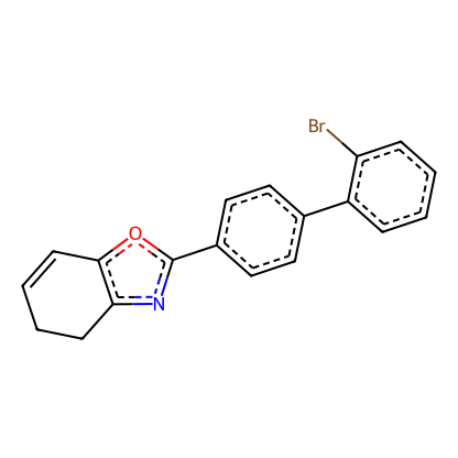 Brc1ccccc1-c1ccc(-c2nc3c(o2)C=CCC3)cc1